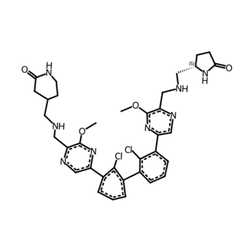 COc1nc(-c2cccc(-c3cccc(-c4cnc(CNC[C@@H]5CCC(=O)N5)c(OC)n4)c3Cl)c2Cl)cnc1CNCC1CCNC(=O)C1